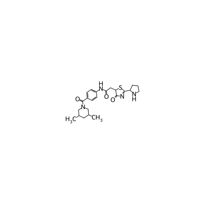 CC1CC(C)CN(C(=O)c2ccc(NC(=O)CC3SC(C4CCCN4)=NC3=O)cc2)C1